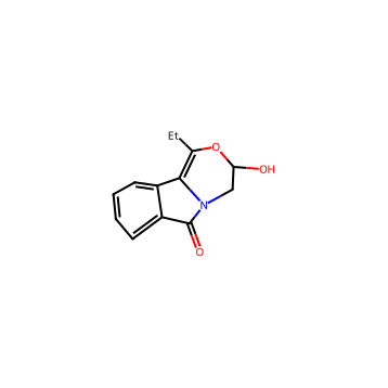 CCC1=C2c3ccccc3C(=O)N2CC(O)O1